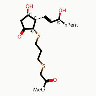 CCCCC[C@H](O)C=C[C@H]1[C@H](O)CC(=O)[C@@H]1SCCCSCC(=O)OC